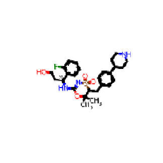 CC1(C)OC(N[C@@H](CCO)c2ccccc2F)=NS(=O)(=O)C1Cc1ccc(C2CCNCC2)cc1